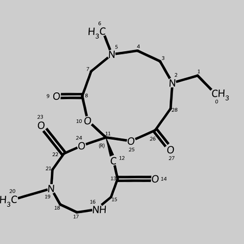 CCN1CCN(C)CC(=O)O[C@]2(CC(=O)CNCCN(C)CC(=O)O2)OC(=O)C1